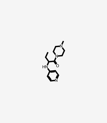 CCC(Nc1ccncc1)C(=O)N1CCN(C)CC1